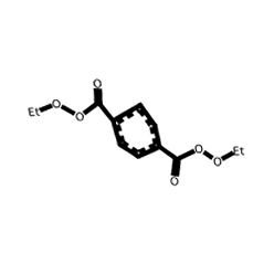 CCOOC(=O)c1ccc(C(=O)OOCC)cc1